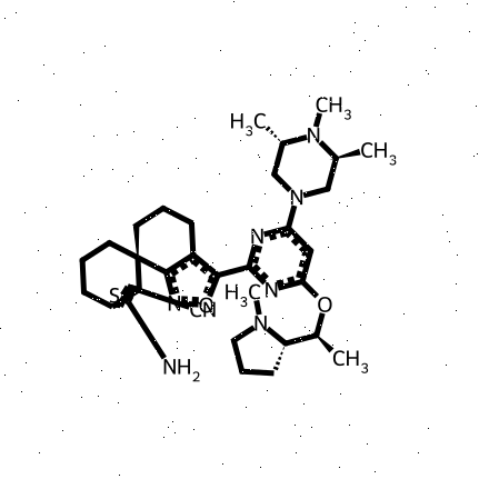 C[C@H](Oc1cc(N2C[C@H](C)N(C)[C@@H](C)C2)nc(-c2onc3c2CCC[C@@]32CCCc3sc(N)c(C#N)c32)n1)[C@@H]1CCCN1C